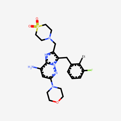 CCc1c(F)cccc1Cc1c(CN2CCS(=O)(=O)CC2)nc2c(N)cc(N3CCOCC3)nn12